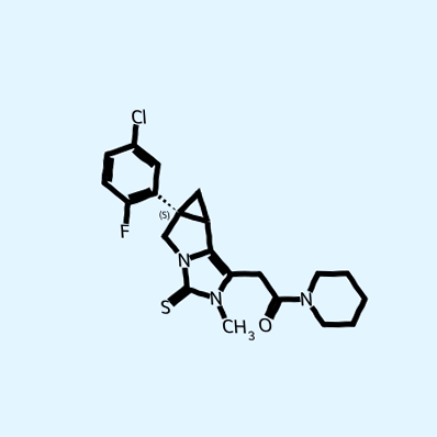 Cn1c(CC(=O)N2CCCCC2)c2n(c1=S)C[C@@]1(c3cc(Cl)ccc3F)CC21